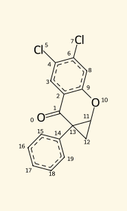 O=C1c2cc(Cl)c(Cl)cc2OC2CC12c1ccccc1